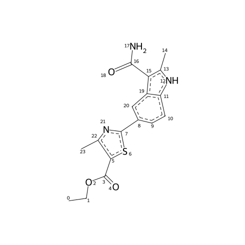 CCOC(=O)c1sc(-c2ccc3[nH]c(C)c(C(N)=O)c3c2)nc1C